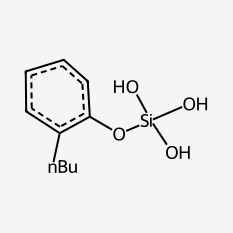 CCCCc1ccccc1O[Si](O)(O)O